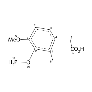 COc1ccc(CC(=O)O)c(C)c1OP